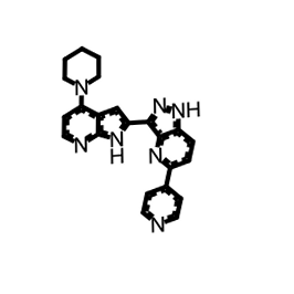 c1cc(-c2ccc3[nH]nc(-c4cc5c(N6CCCCC6)ccnc5[nH]4)c3n2)ccn1